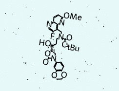 COc1ccc2ncc(F)c(CN(CC[C@@H](O)[C@H]3CN(c4ccc5c(c4)OCCO5)C(=O)O3)C(=O)OC(C)(C)C)c2n1